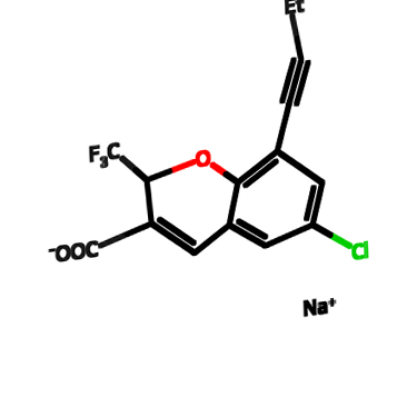 CCC#Cc1cc(Cl)cc2c1OC(C(F)(F)F)C(C(=O)[O-])=C2.[Na+]